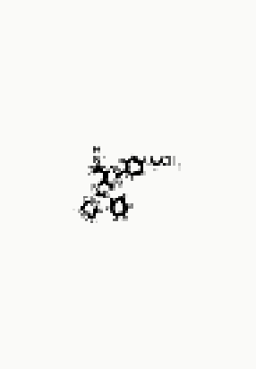 CCOc1ccc(-c2nc(C(N)=O)c3nc(N4CCOCC4)n(-c4ccccc4)c3n2)cc1